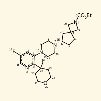 CCOC(=O)N1CC2(CC[C@H](N3CCN(c4cc(F)cnc4C4(F)CCOCC4)CC3)C2)C1